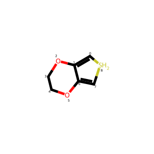 C1=C2OCCOC2=C[SH2]1